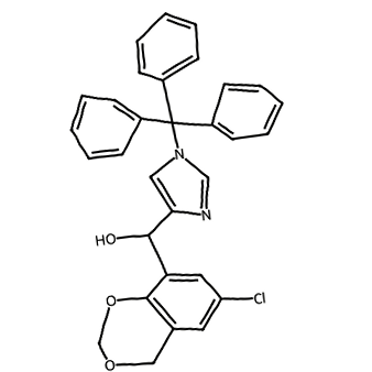 OC(c1cn(C(c2ccccc2)(c2ccccc2)c2ccccc2)cn1)c1cc(Cl)cc2c1OCOC2